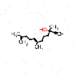 C#CC(C)(O)CCCC(C)=CCCC(=C)C